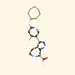 CNC(=O)c1nccc2c(-c3cnc(NC4CCCCCC4)cc3C)c[nH]c12